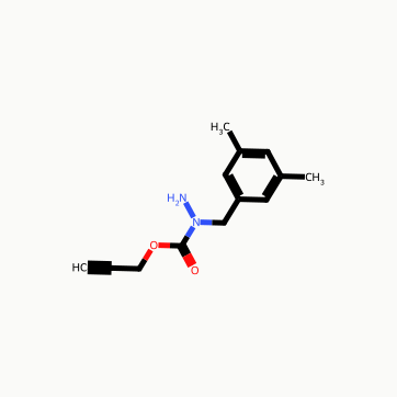 C#CCOC(=O)N(N)Cc1cc(C)cc(C)c1